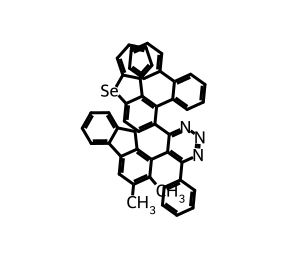 Cc1cc2c(c(-c3c(-c4ccccc4)nnnc3-c3ccc4[se]c5ccccc5c4c3-c3ccccc3-c3ccccc3)c1C)Cc1ccccc1-2